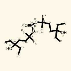 CCC(O)(CC)CCC(F)(F)O[PH](=O)OC(F)(F)CCC(O)(CC)CC